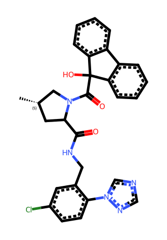 C[C@H]1CC(C(=O)NCc2cc(Cl)ccc2-n2cncn2)N(C(=O)C2(O)c3ccccc3-c3ccccc32)C1